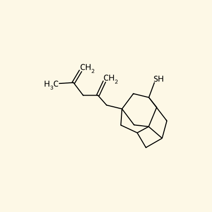 C=C(C)CC(=C)CC12CC3CC4CC(S)(C1)CC43C2